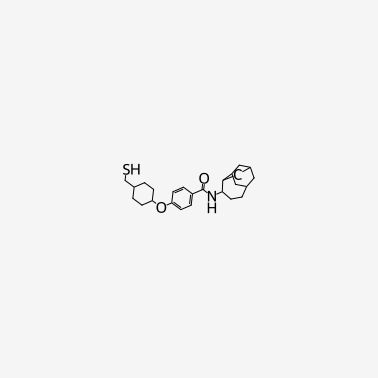 O=C(NC1CCC2CC3CC(C2)C1C3)c1ccc(OC2CCC(CS)CC2)cc1